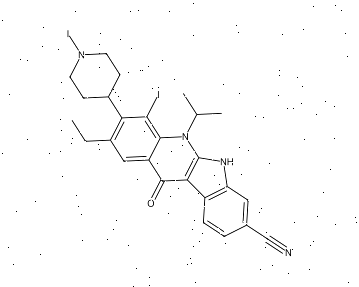 CCc1cc2c(=O)c3c4ccc(C#N)cc4[nH]c3n(C(C)C)c2c(I)c1C1CCN(I)CC1